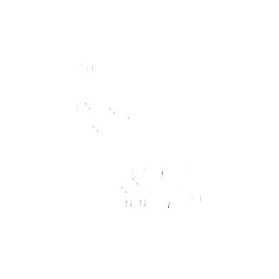 CC(C)[C@H](C(=O)O)[C@H](Cc1ccc(-c2cnc(NCCO)nc2)cc1)c1nnn[nH]1